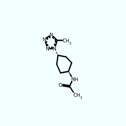 CC(=O)N[C@H]1CC[C@H](n2nnnc2C)CC1